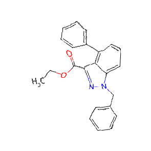 CCOC(=O)c1nn(Cc2ccccc2)c2cccc(-c3ccccc3)c12